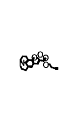 C#CCCOC(=O)c1cc2cc3c4c(c2oc1=O)CCCN4CCC3